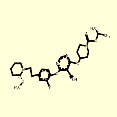 C#Cc1c(Oc2ccc(CCN3CCCC[C@H]3OC)cc2F)ncnc1OC1CCN(C(=O)OC(C)C)CC1